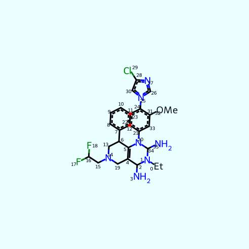 CCN1C(N)C2=C(C(c3ccccc3)CN(CC(F)F)C2)N(c2ccc(-n3cnc(Cl)c3)c(OC)c2)C1N